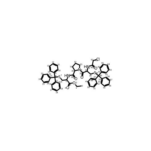 CCOC(=O)C(CSC(c1ccccc1)(c1ccccc1)c1ccccc1)NC(=O)C1CCCN1C(=O)C(CSC(c1ccccc1)(c1ccccc1)c1ccccc1)NC(=O)CCl